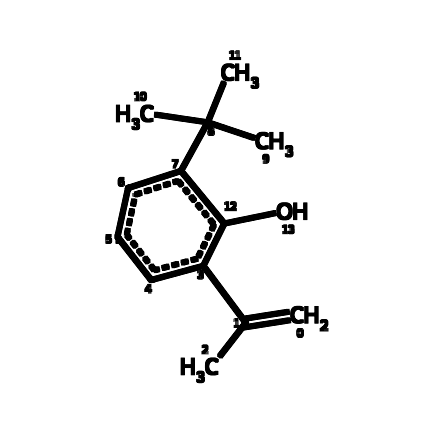 C=C(C)c1c[c]cc(C(C)(C)C)c1O